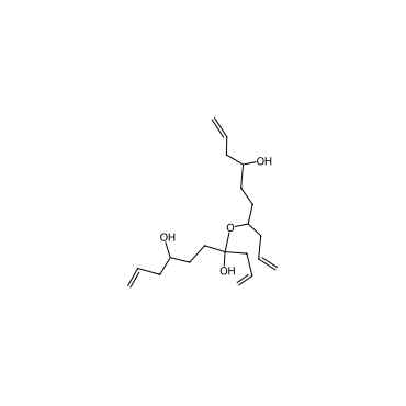 C=CCC(O)CCC(CC=C)OC(O)(CC=C)CCC(O)CC=C